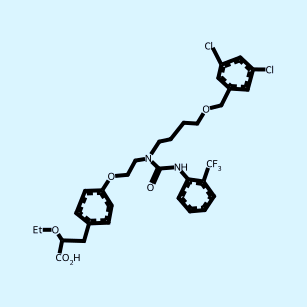 CCOC(Cc1ccc(OCCN(CCCCOCc2cc(Cl)cc(Cl)c2)C(=O)Nc2ccccc2C(F)(F)F)cc1)C(=O)O